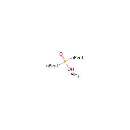 CCCCCP(=O)(O)CCCCC.[AlH3]